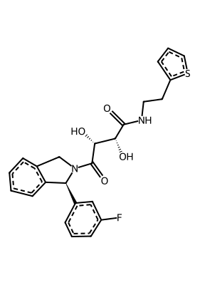 O=C(NCCc1cccs1)[C@H](O)[C@@H](O)C(=O)N1Cc2ccccc2[C@@H]1c1cccc(F)c1